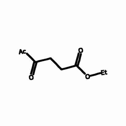 CCOC(=O)CCC(=O)C(C)=O